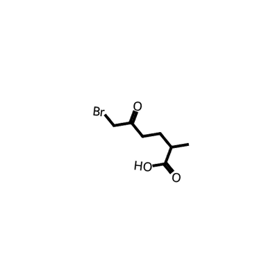 CC(CCC(=O)CBr)C(=O)O